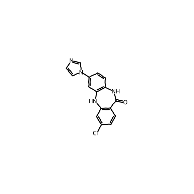 O=C1Nc2ccc(-n3ccnc3)cc2Nc2cc(Cl)ccc21